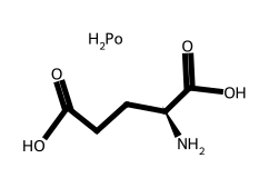 N[C@@H](CCC(=O)O)C(=O)O.[PoH2]